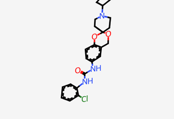 O=C(Nc1ccc2c(c1)COC1(CCN(C3CCC3)CC1)O2)Nc1ccccc1Cl